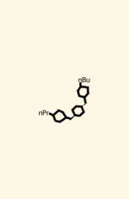 CCCCC1CCC(C[C@H]2CC[C@H](CC3CCC(CCC)CC3)CC2)CC1